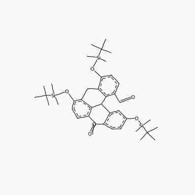 COc1ccc(O[Si](C)(C)C(C)(C)C)cc1C1c2c(C=O)ccc(O[Si](C)(C)C(C)(C)C)c2Cc2c(O[Si](C)(C)C(C)(C)C)ccc(C=O)c21